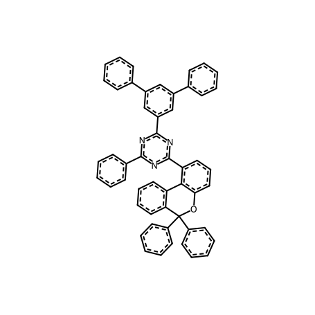 c1ccc(-c2cc(-c3ccccc3)cc(-c3nc(-c4ccccc4)nc(-c4cccc5c4-c4ccccc4C(c4ccccc4)(c4ccccc4)O5)n3)c2)cc1